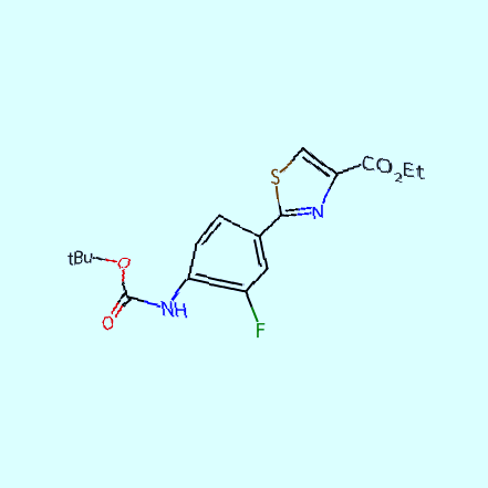 CCOC(=O)c1csc(-c2ccc(NC(=O)OC(C)(C)C)c(F)c2)n1